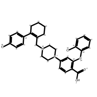 O=C(O)c1ccc(N2CCN(CC3=C(c4ccc(Cl)cc4)CCCC3)CC2)cc1Oc1ccccc1Cl